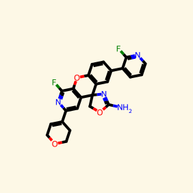 NC1=NC2(CO1)c1cc(-c3cccnc3F)ccc1Oc1c2cc(C2=CCOCC2)nc1F